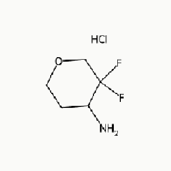 Cl.NC1CCOCC1(F)F